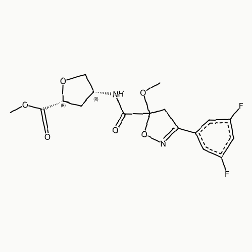 COC(=O)[C@H]1C[C@@H](NC(=O)C2(OC)CC(c3cc(F)cc(F)c3)=NO2)CO1